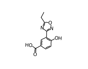 CCc1nc(-c2cc(C(=O)O)ccc2O)no1